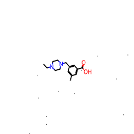 CCN1CCN(Cc2cc(C)cc(C(=O)O)c2)CC1